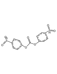 O=C(Oc1ccc([SH](=O)=O)cc1)Oc1ccc([SH](=O)=O)cc1